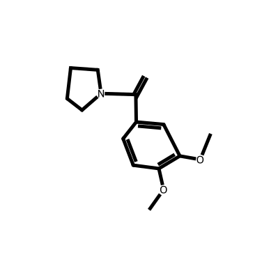 C=C(c1ccc(OC)c(OC)c1)N1CCCC1